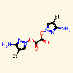 CCc1cn(OC(=O)C(=O)On2cc(CC)c(N)n2)nc1N